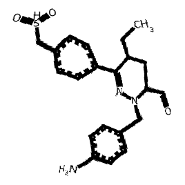 CCC1CC(C=O)N(Cc2ccc(N)cc2)N=C1c1ccc(C[SH](=O)=O)cc1